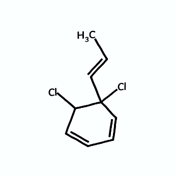 CC=CC1(Cl)C=CC=CC1Cl